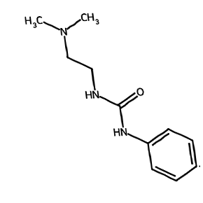 CN(C)CCNC(=O)Nc1cc[c]cc1